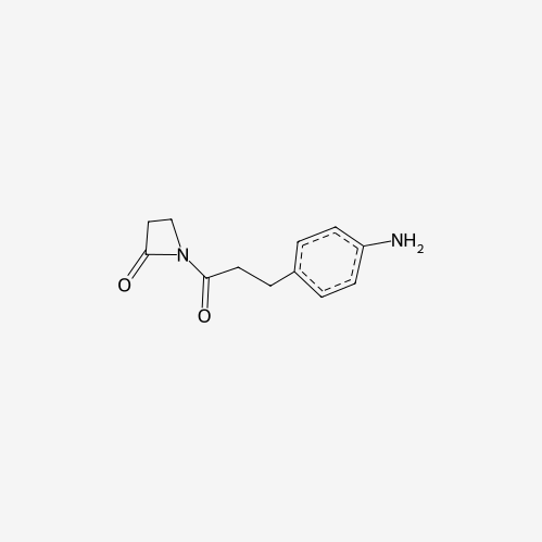 Nc1ccc(CCC(=O)N2CCC2=O)cc1